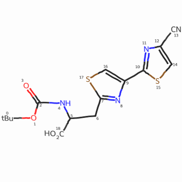 CC(C)(C)OC(=O)NC(Cc1nc(-c2nc(C#N)cs2)cs1)C(=O)O